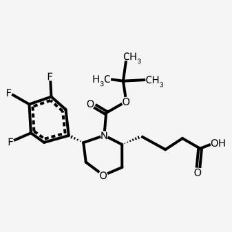 CC(C)(C)OC(=O)N1[C@H](CCCC(=O)O)COC[C@@H]1c1cc(F)c(F)c(F)c1